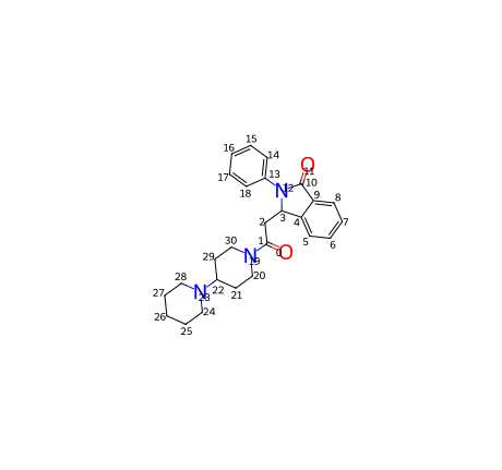 O=C(CC1c2ccccc2C(=O)N1c1ccccc1)N1CCC(N2CCCCC2)CC1